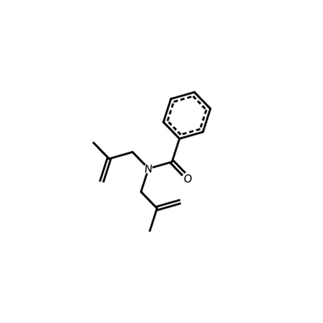 C=C(C)CN(CC(=C)C)C(=O)c1ccccc1